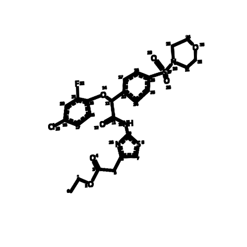 CCOC(=O)Cc1csc(NC(=O)C(Oc2ccc(Cl)cc2F)c2ccc(S(=O)(=O)N3CCOCC3)cc2)n1